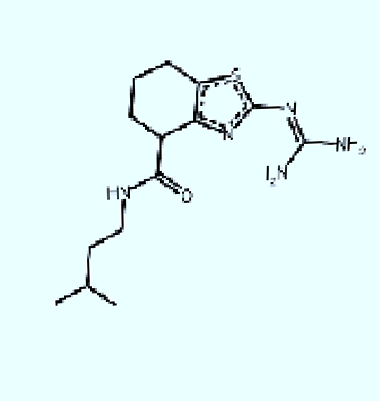 CC(C)CCNC(=O)C1CCCc2sc(N=C(N)N)nc21